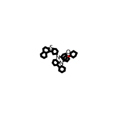 c1ccc(-n2c3ccccc3c3cccc(N(c4ccc5c(c4)oc4ccccc45)c4ccc5sc6ccc7ccccc7c6c5c4)c32)cc1